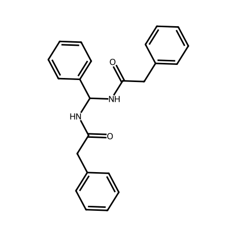 O=C(Cc1ccccc1)NC(NC(=O)Cc1ccccc1)c1ccccc1